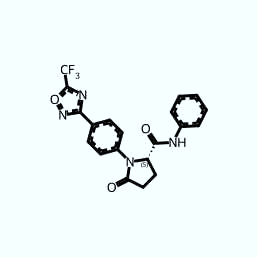 O=C(Nc1ccccc1)[C@@H]1CCC(=O)N1c1ccc(-c2noc(C(F)(F)F)n2)cc1